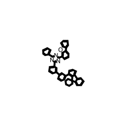 c1ccc(-c2nc(-c3cccc(-c4cccc(-c5cccc6c5C5(CCCCC5)c5ccccc5-6)c4)c3)nc(-c3cccc4c3oc3ccccc34)n2)cc1